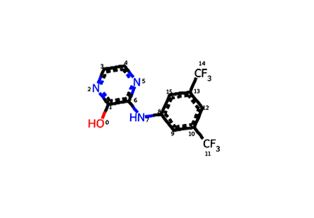 Oc1nccnc1Nc1cc(C(F)(F)F)cc(C(F)(F)F)c1